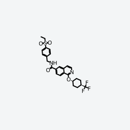 CCS(=O)(=O)c1ccc(CNC(=O)c2ccc3c(O[C@H]4CC[C@H](C(F)(F)F)CC4)nccc3c2)cc1